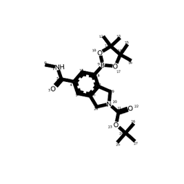 CNC(=O)c1cc2c(c(B3OC(C)(C)C(C)(C)O3)c1)CN(C(=O)OC(C)(C)C)C2